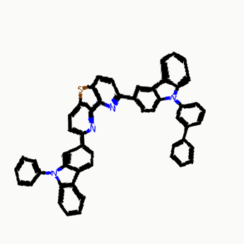 c1ccc(-c2cccc(-n3c4ccccc4c4cc(-c5ccc6sc7ccc(-c8ccc9c%10ccccc%10n(-c%10ccccc%10)c9c8)nc7c6n5)ccc43)c2)cc1